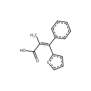 C/C(C(=O)O)=C(\c1ccccc1)c1cccs1